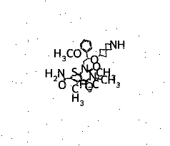 COc1ccccc1C(Cn1c(=O)n(C(C)(C)C)c(=O)c2c(C)c(C(N)=O)sc21)OC1CC2(CNC2)C1